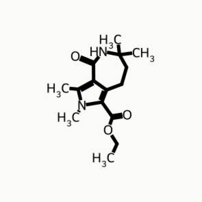 CCOC(=O)c1c2c(c(C)n1C)C(=O)NC(C)(C)CC2